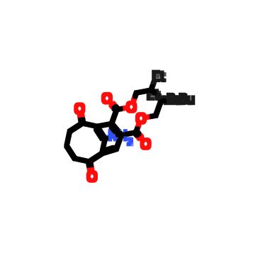 CCCCC(CC)COC(=O)c1cc2c(N)c(c1C(=O)OCC(CC)CCCC)C(=O)CCCC2=O